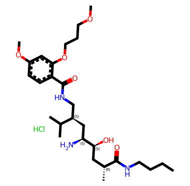 CCCCNC(=O)[C@H](C)C[C@H](O)[C@@H](N)C[C@H](CNC(=O)c1ccc(OC)cc1OCCCOC)C(C)C.Cl